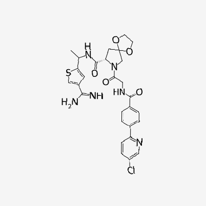 CC(NC(=O)[C@@H]1CC2(CN1C(=O)CNC(=O)c1ccc(-c3ccc(Cl)cn3)cc1)OCCO2)c1cc(C(=N)N)cs1